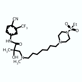 CCS(=O)(=O)N1CCN(CCCCCCCN(C)C[C@](C)(O)C(=O)Nc2ccc(C#N)c(C(F)(F)F)c2)CC1